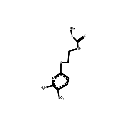 CC(C)(C)OC(=O)NCCSc1ccc([N+](=O)[O-])c(N)n1